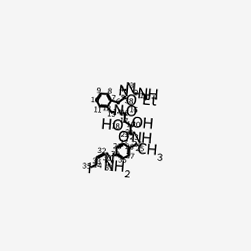 CCNc1nnc(C2c3ccccc3CN2C(=O)[C@H](O)[C@@H](O)C(=O)N[C@H](C)c2ccc(N(N)/C=C\CI)cc2)o1